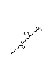 CCCCCCC(=O)OCCCC(N)CCCN